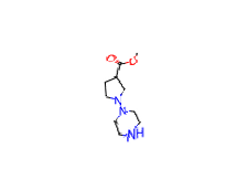 COC(=O)C1CCN(N2CCNCC2)C1